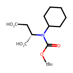 CC(C)(C)OC(=O)N(C1CC[CH]CC1)[C@@H](CC(=O)O)C(=O)O